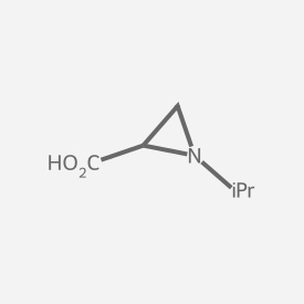 CC(C)N1CC1C(=O)O